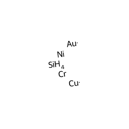 [Au].[Cr].[Cu].[Ni].[SiH4]